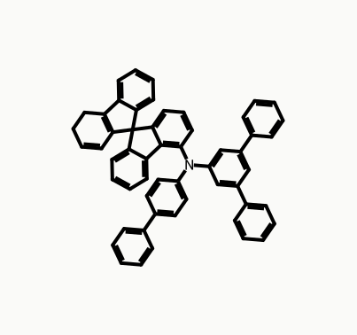 C1=CC2=C(CC1)c1ccccc1C21c2ccccc2-c2c(N(c3ccc(-c4ccccc4)cc3)c3cc(-c4ccccc4)cc(-c4ccccc4)c3)cccc21